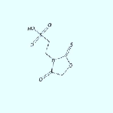 O=C1COC(=S)N1CCS(=O)(=O)O